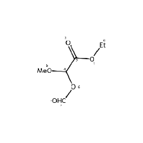 CCOC(=O)C(OC)O[C]=O